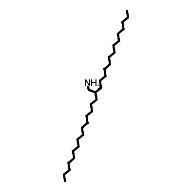 CCCCCCCCCCCCCCCC(CN)CCCCCCCCCCCCCC